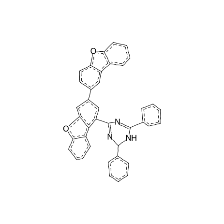 c1ccc(C2=NC(c3cc(-c4ccc5oc6ccccc6c5c4)cc4oc5ccccc5c34)=NC(c3ccccc3)N2)cc1